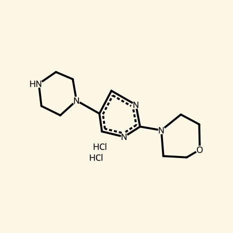 Cl.Cl.c1nc(N2CCOCC2)ncc1N1CCNCC1